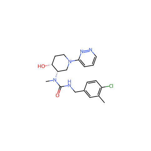 Cc1cc(CNC(=O)N(C)[C@H]2CN(c3cccnn3)CC[C@H]2O)ccc1Cl